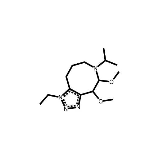 CCn1nnc2c1CCCN(C(C)C)C(OC)C2OC